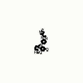 CNc1cccc(CN(c2cc(OC)cc(OC)c2)c2ccc3ncc(-c4cnn(C)c4)nc3c2)n1